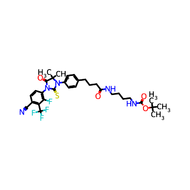 CC(C)(C)OC(=O)NCCCCNC(=O)CCCc1ccc(N2C(=S)N(c3ccc(C#N)c(C(F)(F)F)c3F)C(=O)C2(C)C)cc1